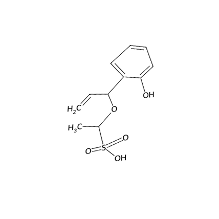 C=CC(OC(C)S(=O)(=O)O)c1ccccc1O